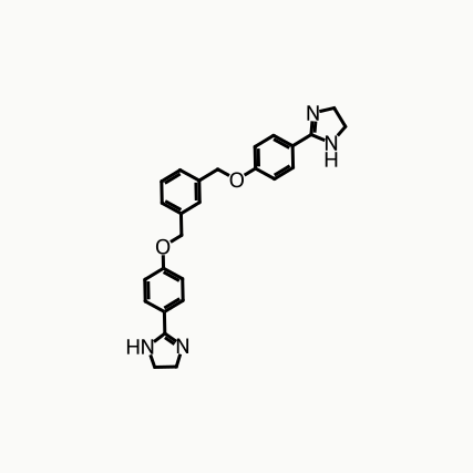 c1cc(COc2ccc(C3=NCCN3)cc2)cc(COc2ccc(C3=NCCN3)cc2)c1